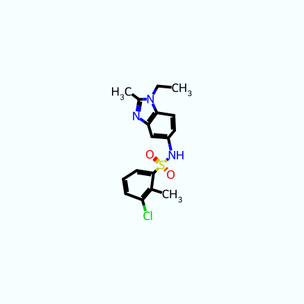 CCn1c(C)nc2cc(NS(=O)(=O)c3cccc(Cl)c3C)ccc21